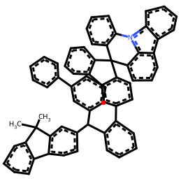 CC1(C)c2ccccc2-c2ccc(C(c3cccc(-c4ccccc4)c3)c3ccccc3-c3ccc4c(c3)-c3ccccc3C43c4ccccc4-n4c5ccccc5c5cccc3c54)cc21